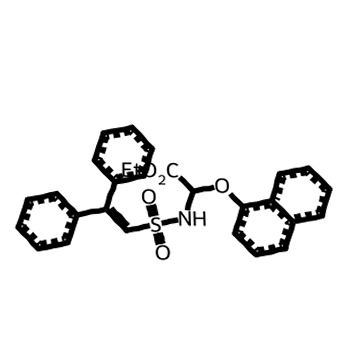 CCOC(=O)C(NS(=O)(=O)C=C(c1ccccc1)c1ccccc1)Oc1cccc2ccccc12